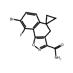 NC(=O)c1noc2c1CC1(CC1)c1ccc(Br)c(F)c1-2